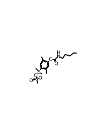 CCCCCNC(=O)Oc1cc(C)c(S(C)(C)OS(C)(=O)=O)cc1C